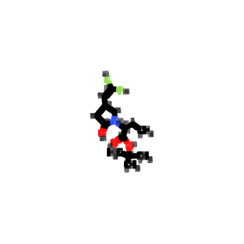 CC[C@@H](C(=O)OC(C)(C)C)N1CC(C=C(F)F)CC1=O